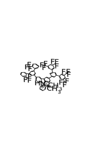 CC(C)(C)c1ccccc1-n1c2ccc(-c3cc(-c4cc(C(F)(F)F)cc(C(F)(F)F)c4)cc(-c4cc(C(F)(F)F)cc(C(F)(F)F)c4)c3)cc2c2cc(-c3cc(-c4ccccc4C(F)(F)F)cc(-c4ccccc4C(F)(F)F)c3)ccc21